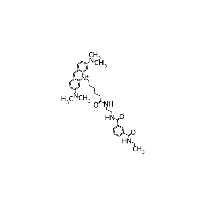 CCNC(=O)c1cccc(C(=O)NCCNC(=O)CCCCC[n+]2c3cc(N(C)C)ccc3cc3ccc(N(C)C)cc32)c1